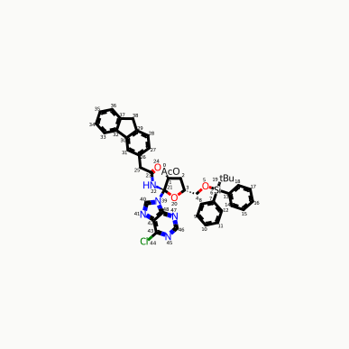 CC(=O)O[C@H]1C[C@H](CO[Si](c2ccccc2)(c2ccccc2)C(C)(C)C)O[C@]1(NC(=O)Cc1ccc2c(c1)-c1ccccc1C2)n1cnc2c(Cl)ncnc21